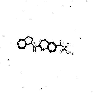 CS(=O)(=O)Nc1ccc2c(c1)COC(N[C@@H]1CCc3ccccc31)=N2